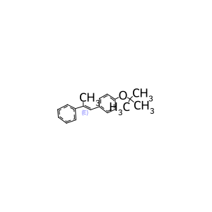 C/C(=C\c1ccc(OC(C)(C)C)cc1)c1ccccc1